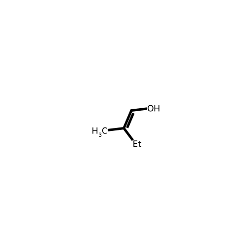 CC/C(C)=C\O